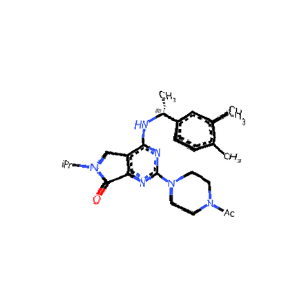 CC(=O)N1CCN(c2nc(N[C@H](C)c3ccc(C)c(C)c3)c3c(n2)C(=O)N(C(C)C)C3)CC1